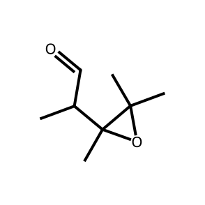 CC(C=O)C1(C)OC1(C)C